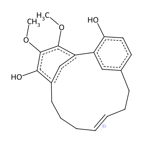 COc1c2cc(c(O)c1OC)CCC/C=C/CCc1ccc(O)c-2c1